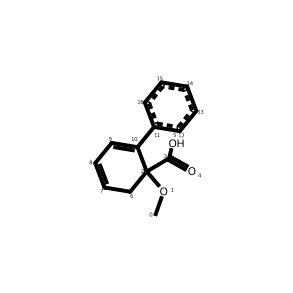 COC1(C(=O)O)CC=CC=C1c1ccccc1